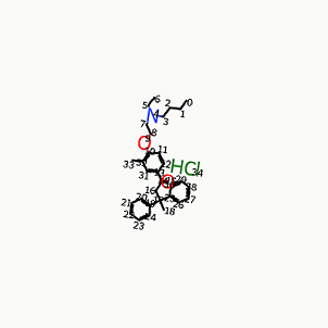 CCCCN(CC)CCOc1ccc(C(=O)CC(C)(c2ccccc2)c2ccccc2)cc1C.Cl